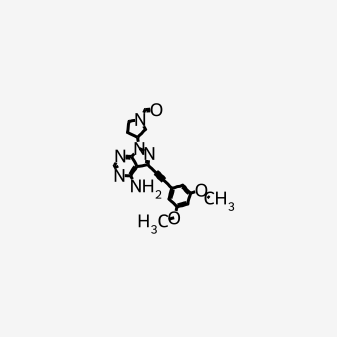 COc1cc(C#Cc2nn(C3CCN(C=O)C3)c3ncnc(N)c23)cc(OC)c1